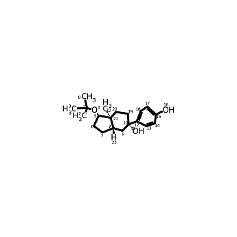 CC(C)(C)O[C@H]1CC[C@H]2C[C@](O)(c3ccc(O)cc3)CC[C@@]21C